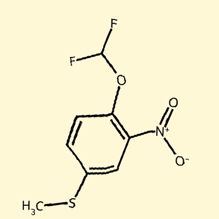 CSc1ccc(OC(F)F)c([N+](=O)[O-])c1